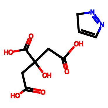 C1=CN=NC1.O=C(O)CC(O)(CC(=O)O)C(=O)O